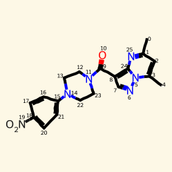 Cc1cc(C)n2ncc(C(=O)N3CCN(c4ccc([N+](=O)[O-])cc4)CC3)c2n1